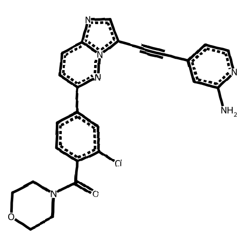 Nc1cc(C#Cc2cnc3ccc(-c4ccc(C(=O)N5CCOCC5)c(Cl)c4)nn23)ccn1